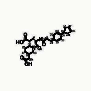 O=C(O)CC[C@H](NC(=O)CCc1ccc(C2CC=CS2)cc1)C(=O)N1CCCC(CC(=O)O)C1